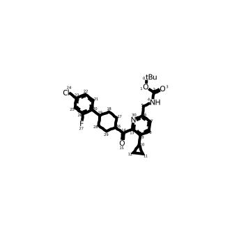 CC(C)(C)OC(=O)NCc1ccc(C2CC2)c(C(=O)C2CCC(c3ccc(Cl)cc3F)CC2)n1